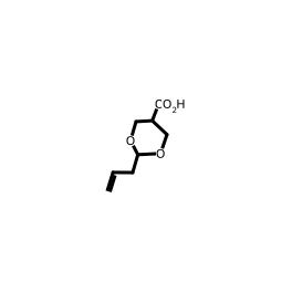 C=CCC1OCC(C(=O)O)CO1